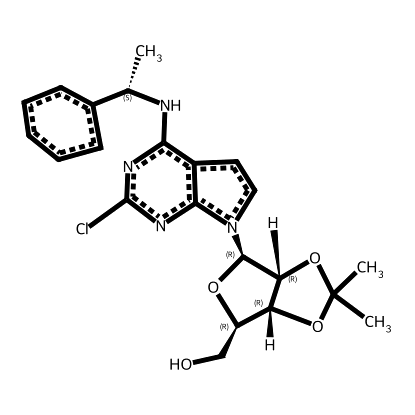 C[C@H](Nc1nc(Cl)nc2c1ccn2[C@@H]1O[C@H](CO)[C@H]2OC(C)(C)O[C@H]21)c1ccccc1